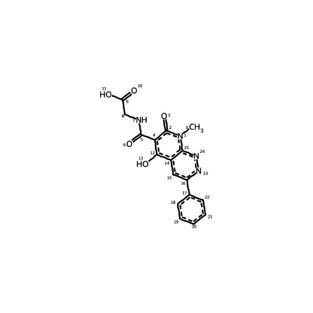 Cn1c(=O)c(C(=O)NCC(=O)O)c(O)c2cc(-c3ccccc3)nnc21